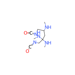 CNC(CN=C=O)CC(CN=C=O)(NC)NC